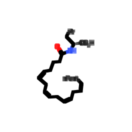 CCCCC/C=C\C/C=C\C/C=C\C/C=C\CCCC(=O)N[C@H](CC(C)C)C(=O)O